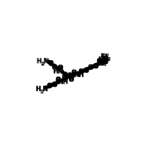 NCCOCCOCCC(=O)NCCCC[C@H](NC(=O)CCCNC(=O)CCOCCOCCN)C(=O)NCC(=O)NCCOCCOCCOCCOCCC(=O)Oc1c(F)c(F)c(F)c(F)c1F